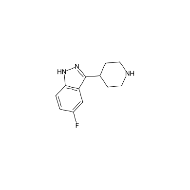 Fc1ccc2[nH]nc(C3CCNCC3)c2c1